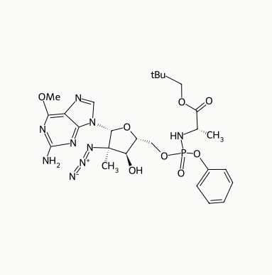 COc1nc(N)nc2c1ncn2[C@@H]1O[C@H](COP(=O)(N[C@@H](C)C(=O)OCC(C)(C)C)Oc2ccccc2)[C@@H](O)[C@@]1(C)N=[N+]=[N-]